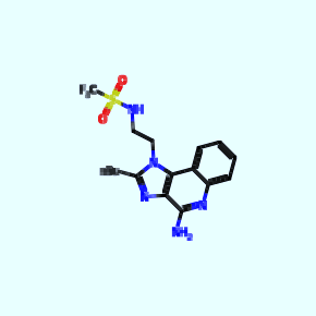 CCCCc1nc2c(N)nc3ccccc3c2n1CCNS(=O)(=O)C(F)(F)F